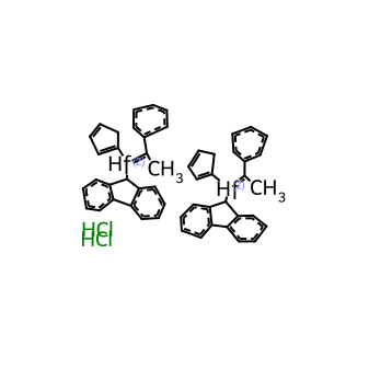 C/[C](c1ccccc1)=[Hf](/[C]1=CC=CC1)[CH]1c2ccccc2-c2ccccc21.C/[C](c1ccccc1)=[Hf](/[C]1=CC=CC1)[CH]1c2ccccc2-c2ccccc21.Cl.Cl